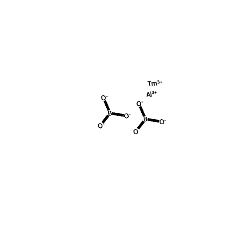 [Al+3].[O-]B([O-])[O-].[O-]B([O-])[O-].[Tm+3]